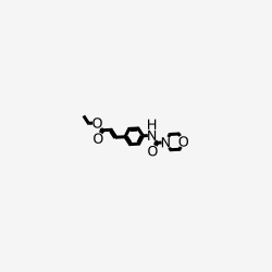 CCOC(=O)C=Cc1ccc(NC(=O)N2CCOCC2)cc1